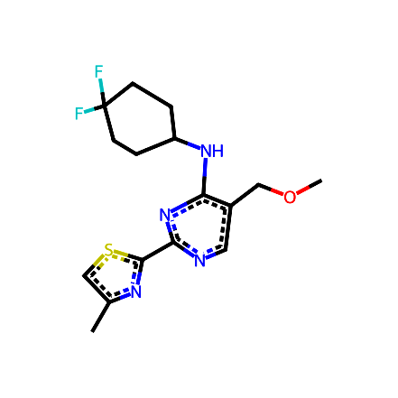 COCc1cnc(-c2nc(C)cs2)nc1NC1CCC(F)(F)CC1